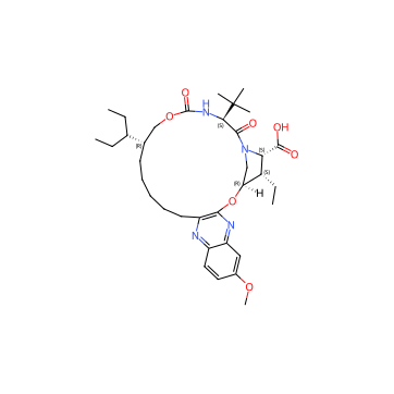 CCC(CC)[C@H]1CCCCCc2nc3ccc(OC)cc3nc2O[C@H]2CN(C(=O)[C@H](C(C)(C)C)NC(=O)OC1)[C@H](C(=O)O)[C@@H]2CC